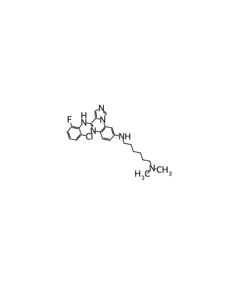 CN(C)CCCCCCNc1ccc2nc(Nc3c(F)cccc3Cl)c3cncn3c2c1